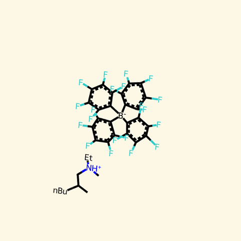 CCCCC(C)C[NH+](C)CC.Fc1c(F)c(F)c([B-](c2c(F)c(F)c(F)c(F)c2F)(c2c(F)c(F)c(F)c(F)c2F)c2c(F)c(F)c(F)c(F)c2F)c(F)c1F